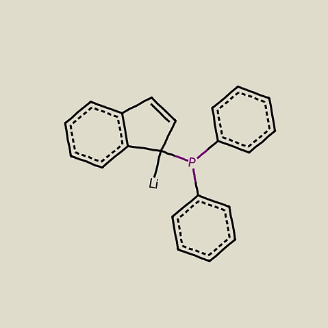 [Li][C]1(P(c2ccccc2)c2ccccc2)C=Cc2ccccc21